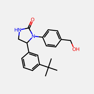 CC(C)(C)c1cccc(C2CNC(=O)N2c2ccc(CO)cc2)c1